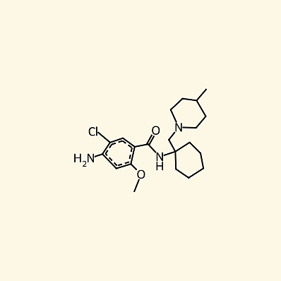 COc1cc(N)c(Cl)cc1C(=O)NC1(CN2CCC(C)CC2)CCCCC1